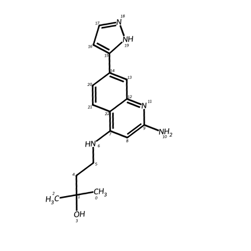 CC(C)(O)CCNc1cc(N)nc2cc(-c3ccn[nH]3)ccc12